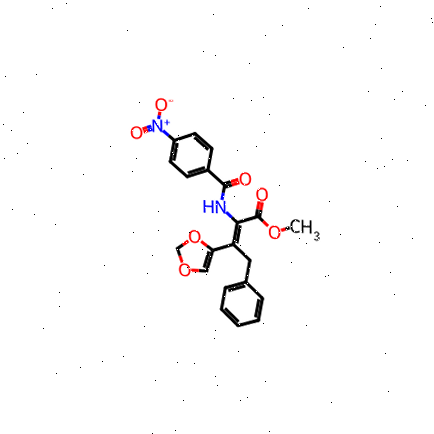 COC(=O)C(NC(=O)c1ccc([N+](=O)[O-])cc1)=C(Cc1ccccc1)C1=COCO1